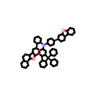 c1ccc(C2(c3ccccc3)c3ccccc3-c3ccc(N(c4ccc(-c5ccc6c(c5)oc5ccccc56)cc4)c4ccccc4-c4ccc5oc6c7ccccc7ccc6c5c4)cc32)cc1